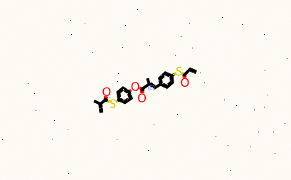 C=CC(=O)Sc1ccc(/C=C(\C)C(=O)Oc2ccc(SC(=O)C(=C)C)cc2)cc1